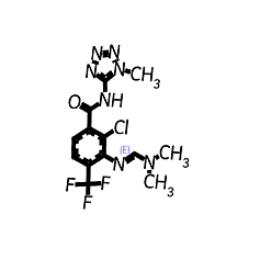 CN(C)/C=N/c1c(C(F)(F)F)ccc(C(=O)Nc2nnnn2C)c1Cl